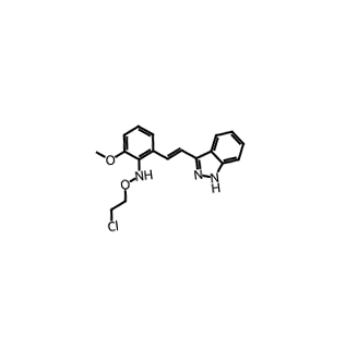 COc1cccc(C=Cc2n[nH]c3ccccc23)c1NOCCCl